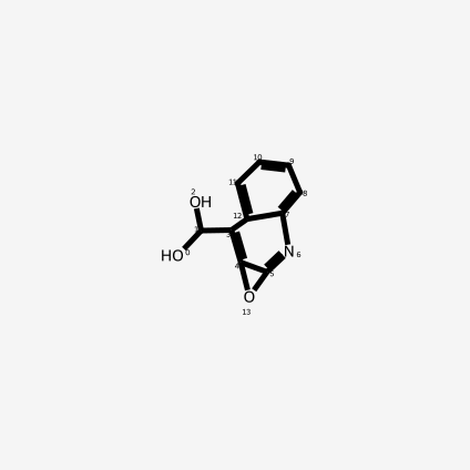 OC(O)c1c2c(nc3ccccc13)O2